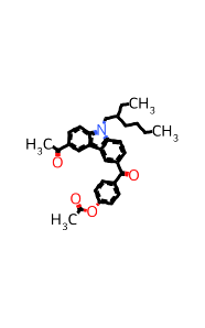 CCCCC(CC)Cn1c2ccc(C(C)=O)cc2c2cc(C(=O)c3ccc(OC(C)=O)cc3)ccc21